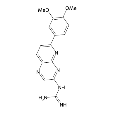 COc1ccc(-c2ccc3ncc(NC(=N)N)nc3n2)cc1OC